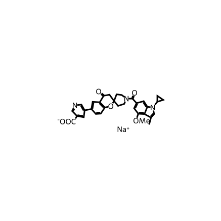 COc1cc(C(=O)N2CCC3(CC2)CC(=O)c2cc(-c4cncc(C(=O)[O-])c4)ccc2O3)cc2c1c(C)cn2C1CC1.[Na+]